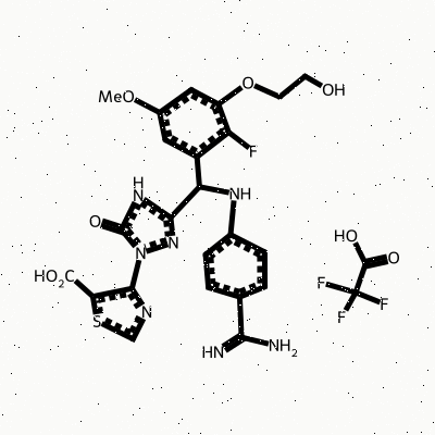 COc1cc(OCCO)c(F)c(C(Nc2ccc(C(=N)N)cc2)c2nn(-c3ncsc3C(=O)O)c(=O)[nH]2)c1.O=C(O)C(F)(F)F